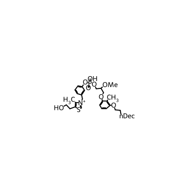 CCCCCCCCCCCCOc1cccc(OCC(COP(=O)(O)Oc2cccc(C[n+]3csc(CCO)c3C)c2)OC)c1C